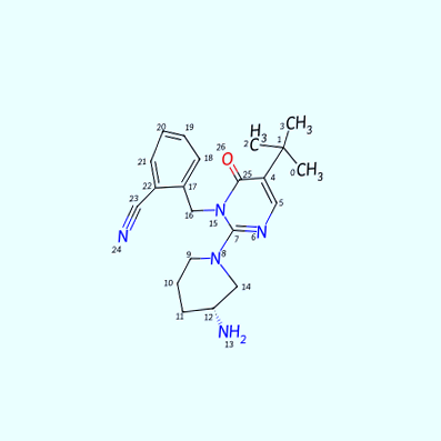 CC(C)(C)c1cnc(N2CCC[C@@H](N)C2)n(Cc2ccccc2C#N)c1=O